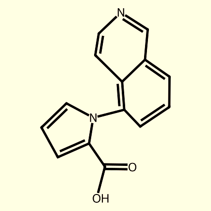 O=C(O)c1cccn1-c1cccc2cnccc12